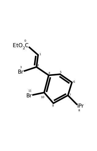 CCOC(=O)/C=C(\Br)c1ccc(C(C)C)cc1Br